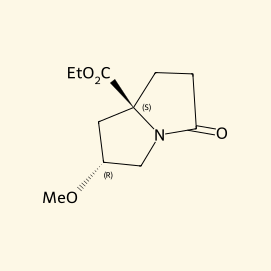 CCOC(=O)[C@@]12CCC(=O)N1C[C@H](OC)C2